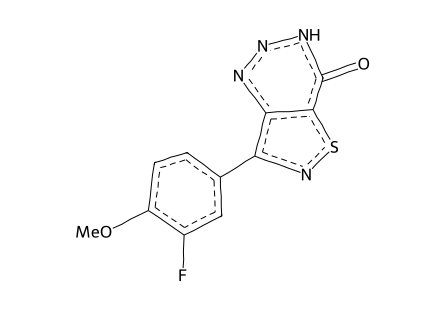 COc1ccc(-c2nsc3c(=O)[nH]nnc23)cc1F